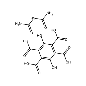 NC(=O)NC(N)=O.O=C(O)c1c(O)c(C(=O)O)c(C(=O)O)c(O)c1C(=O)O